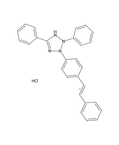 C(=C\c1ccc(N2N=C(c3ccccc3)NN2c2ccccc2)cc1)/c1ccccc1.Cl